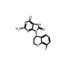 Nc1nc(Cl)c2[nH]c(=O)n([C@@H]3CCOc4c(F)cccc43)c2n1